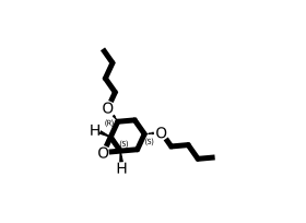 CCCCO[C@@H]1C[C@@H]2O[C@@H]2[C@H](OCCCC)C1